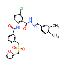 Cc1ccc(/C=N/NC(=O)c2cc(Cl)ccc2NC(=O)c2cccc(CS(=O)(=O)Cc3ccco3)c2)cc1C